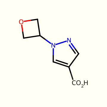 O=C(O)c1cnn(C2COC2)c1